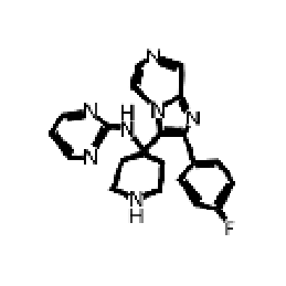 Fc1ccc(-c2nc3cnccn3c2C2(Nc3ncccn3)CCNCC2)cc1